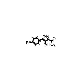 COC(=O)c1n[nH]c(-c2ccc(Br)cc2)c1O